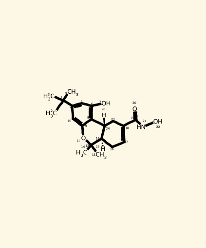 CC(C)(C)c1cc(O)c2c(c1)OC(C)(C)[C@@H]1CC=C(C(=O)NO)C[C@@H]21